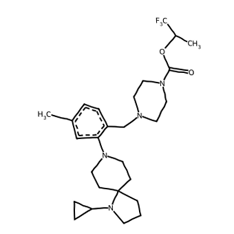 Cc1ccc(CN2CCN(C(=O)OC(C)C(F)(F)F)CC2)c(N2CCC3(CCCN3C3CC3)CC2)c1